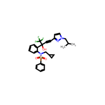 CC(C)Cn1ccc(C#CC(O)(c2ccccc2N(CC2CC2)S(=O)(=O)c2ccccc2)C(F)(F)F)n1